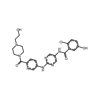 O=C(Nc1cnc(Nc2ccc(C(=O)N3CCN(CCO)CC3)nc2)nc1)c1cc(O)ccc1Cl